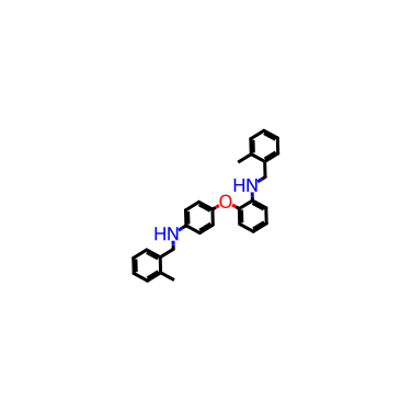 Cc1ccccc1CNc1ccc(Oc2ccccc2NCc2ccccc2C)cc1